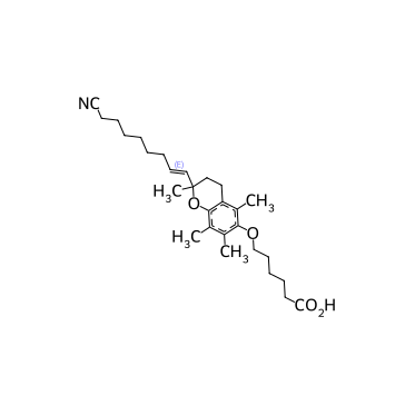 Cc1c(C)c2c(c(C)c1OCCCCCC(=O)O)CCC(C)(/C=C/CCCCCCC#N)O2